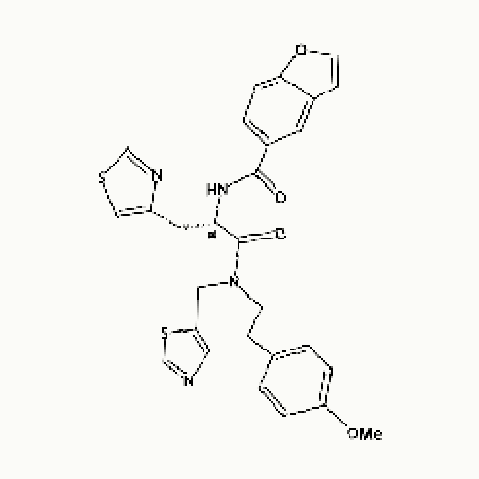 COc1ccc(CCN(Cc2cncs2)C(=O)[C@H](Cc2cscn2)NC(=O)c2ccc3occc3c2)cc1